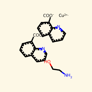 NCCO.O=C([O-])c1cccc2cccnc12.O=C([O-])c1cccc2cccnc12.[Cu+2]